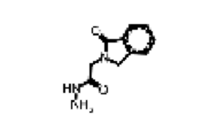 NNC(=O)CN1Cc2ccccc2C1=O